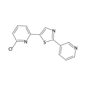 Clc1cccc(-c2cnc(-c3cccnc3)s2)n1